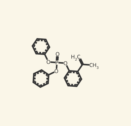 C=C(C)c1ccccc1OP(=O)(Oc1ccccc1)Oc1ccccc1